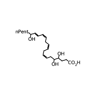 CCCCCC(O)/C=C/C=C\C/C=C\C/C=C\CC(O)C(O)CCC(=O)O